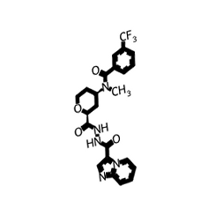 CN(C(=O)c1cccc(C(F)(F)F)c1)[C@@H]1CCO[C@H](C(=O)NNC(=O)c2cnc3ccccn23)C1